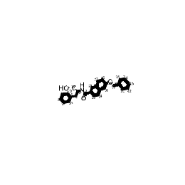 O=C(N[C@H](Cc1ccccc1)C(=O)O)c1ccc2cc(OCc3ccccc3)ccc2c1